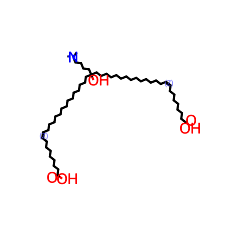 CN(C)CCCCC(O)(CCCCCCCCCCCCCC/C=C\CCCCCCCC(=O)O)CCCCCCCCCCCCCC/C=C\CCCCCCCC(=O)O